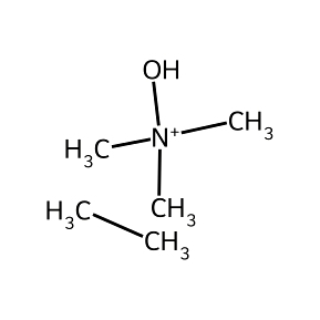 CC.C[N+](C)(C)O